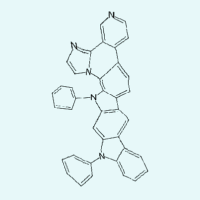 c1ccc(-n2c3ccccc3c3cc4c5ccc6c7ccncc7c7nccn7c6c5n(-c5ccccc5)c4cc32)cc1